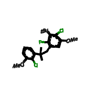 COc1cccc(C(C)(C)Cc2cc(OC)c(Cl)c(C(C)(C)C)c2F)c1Cl